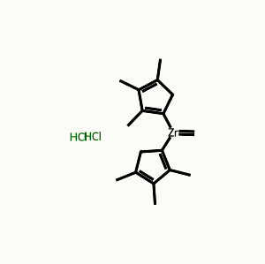 Cl.Cl.[CH2]=[Zr]([C]1=C(C)C(C)=C(C)C1)[C]1=C(C)C(C)=C(C)C1